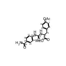 COC(=O)C(Cc1ccc(OC(C)=O)cc1)NC(=O)Nc1ccc(C(N)=O)cc1